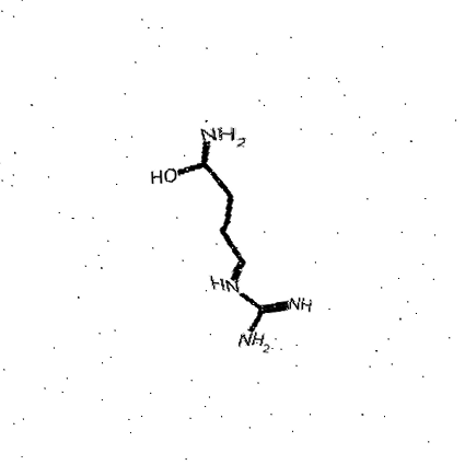 N=C(N)NCCCC(N)O